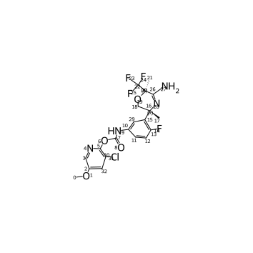 COc1cnc(OC(=O)Nc2ccc(F)c([C@]3(C)CO[C@@](C)(C(F)(F)F)C(N)=N3)c2)c(Cl)c1